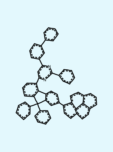 c1ccc(-c2cccc(-c3cc(-c4cccc5c4-c4ccc(-c6ccc7ccc8cccc9ccc6c7c89)cc4C5(c4ccccc4)c4ccccc4)nc(-c4ccccc4)n3)c2)cc1